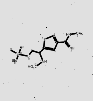 CC(=O)ONC(=N)c1csc(C(CO[Si](C)(C)C(C)(C)C)NC(=O)O)c1